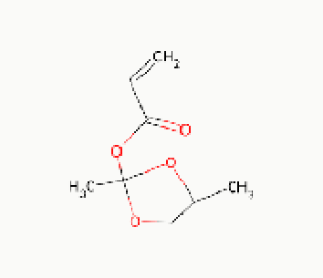 C=CC(=O)OC1(C)OCC(C)O1